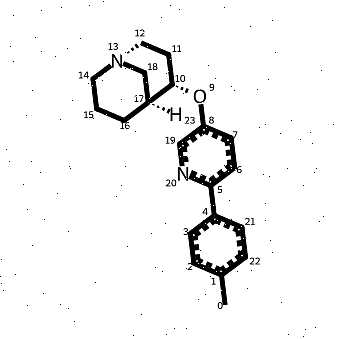 Cc1ccc(-c2ccc(O[C@H]3CC[N@@]4CCC[C@H]3C4)cn2)cc1